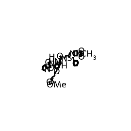 COOSCCCOc1cc(NS(=O)(=O)c2ccccn2)c2[nH]c(C(=O)NCC(CN3CCN(S(C)(=O)=O)CC3)SCc3ccccc3)cc2c1